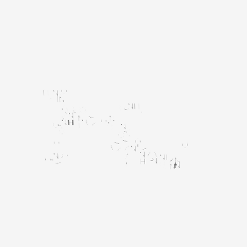 CCCOCCC(C)n1cc(C(=O)Nc2cc3cc(C(=O)N4C[C@@H](CCl)c5c4cc(OC(=O)N(CCCC(N)=O)CCN(C)C(=O)OCc4ccc(NC(=O)[C@H](CCCNC(N)=O)NC(=O)[C@@H](NC(=O)OCCOCCN6C(=O)C=CC6=O)C(C)C)cc4)c4cccc(C)c54)[nH]c3cn2)nn1